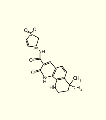 CC1(C)CCNc2c1ccc1cc(C(=O)N[C@@H]3C=CS(=O)(=O)C3)c(=O)[nH]c21